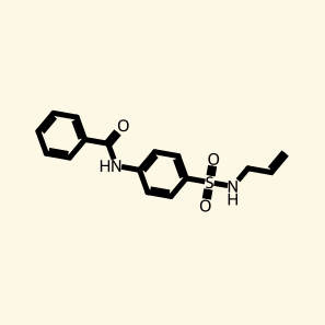 C=CCNS(=O)(=O)c1ccc(NC(=O)c2ccccc2)cc1